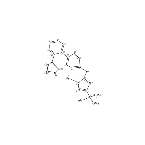 CCCn1nc(C(CCC)(OC)OC)nc1Cc1ccc(-c2ccccc2-c2nnn[nH]2)cc1